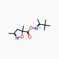 CC1=NOC(C)(C(=O)O/N=C(\C)C(C)(C)C)C1